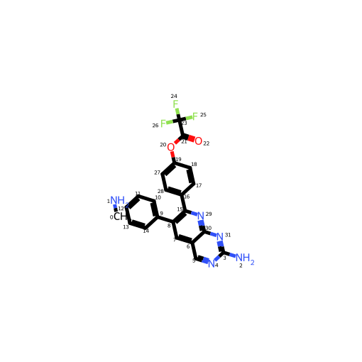 CN.Nc1ncc2cc(-c3ccccc3)c(-c3ccc(OC(=O)C(F)(F)F)cc3)nc2n1